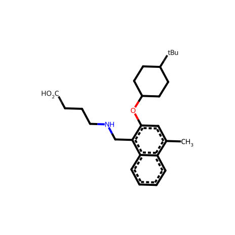 Cc1cc(OC2CCC(C(C)(C)C)CC2)c(CNCCCC(=O)O)c2ccccc12